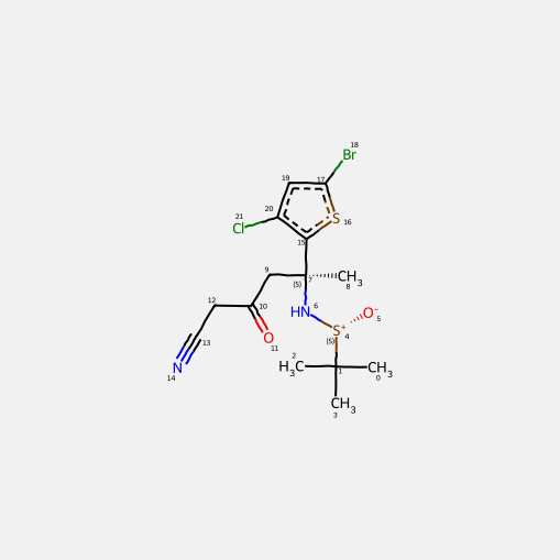 CC(C)(C)[S@@+]([O-])N[C@@](C)(CC(=O)CC#N)c1sc(Br)cc1Cl